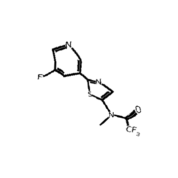 CN(C(=O)C(F)(F)F)c1cnc(-c2cncc(F)c2)s1